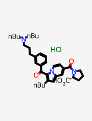 CCCCc1cc2cc(C(=O)N3CCC[C@@H]3C(=O)O)ccn2c1C(=O)c1cccc(CCCN(CCCC)CCCC)c1.Cl